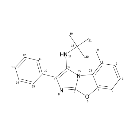 Cc1cccc2oc3nc(-c4ccccc4)c(NC(C)(C)C)n3c12